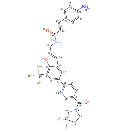 C[C@@]1(F)CCN(C(=O)c2ccc(-c3cc(C(F)(F)F)c4oc(CNC(=O)/C=C/c5ccc(N)nc5)cc4c3)nc2)C1